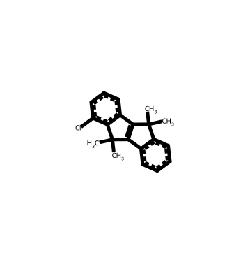 CC1(C)C2=C(c3ccccc31)C(C)(C)c1c(Cl)cccc12